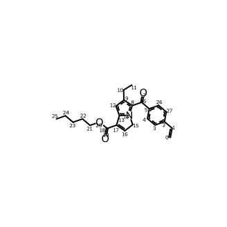 C=Cc1ccc(C(=O)c2c(CC)cc3n2CC=C3C(=O)OCCCCC)cc1